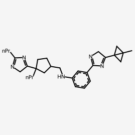 CCCC1=NCC(C2(CCC)CCC(CNc3cccc(C4=NCC(C56CC5(C)C6)=N4)c3)C2)=N1